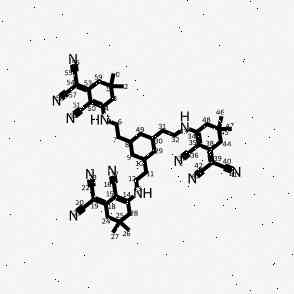 CC1(C)CC(NCCC2CC(CCNC3=C(C#N)C(=C(C#N)C#N)CC(C)(C)C3)CC(CCNC3=C(C#N)C(=C(C#N)C#N)CC(C)(C)C3)C2)=C(C#N)C(=C(C#N)C#N)C1